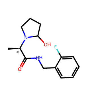 C[C@H](C(=O)NCc1ccccc1F)N1CCCC1O